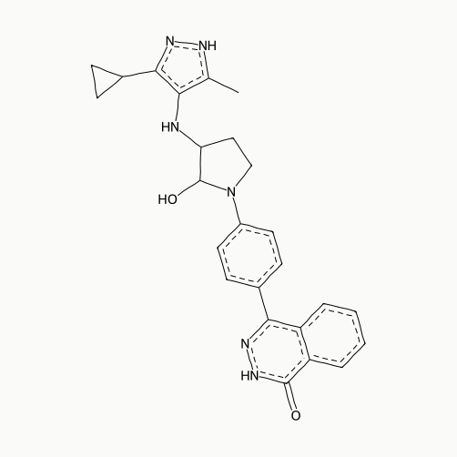 Cc1[nH]nc(C2CC2)c1NC1CCN(c2ccc(-c3n[nH]c(=O)c4ccccc34)cc2)C1O